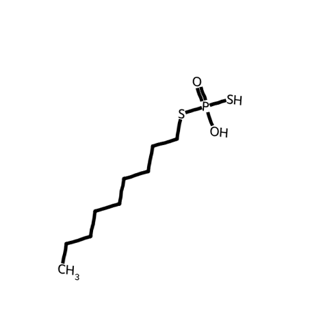 CCCCCCCCCSP(=O)(O)S